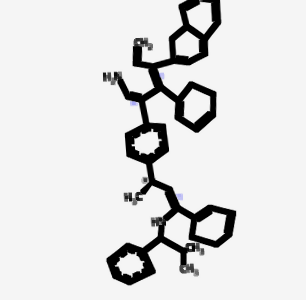 C=C/C(C1=CC=C2C=CC=CC2C1)=C(C1=CC=CCC1)\C(=C/N)c1ccc([C@H](C)/C=C(\NC(c2ccccc2)C(C)C)C2=CC=CCC2)cc1